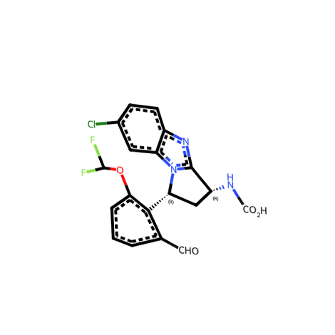 O=Cc1cccc(OC(F)F)c1[C@H]1C[C@@H](NC(=O)O)c2nc3ccc(Cl)cc3n21